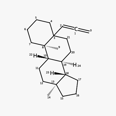 C=C=CC12CCCC[C@]1(C)[C@H]1CC[C@]3(C)CCC[C@H]3[C@@H]1CC2